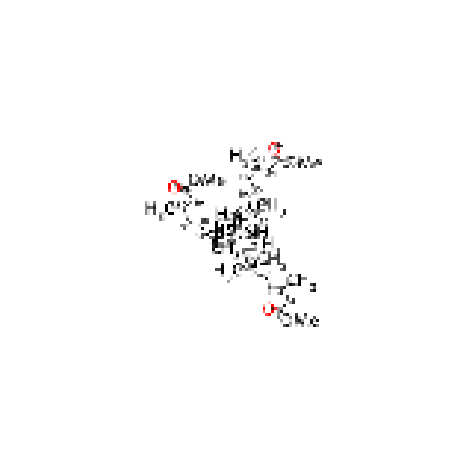 COC(=O)CC(C)CCC[Si](C)(C)C[SiH2][SiH](C[Si](C)(C)CCCC(C)CC(=O)OC)[SiH](C)C[Si](C)(C)CCCC(C)CC(=O)OC